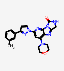 Cc1cccc(-c2ccn(-c3cc(N4CCOCC4)c4nc5n(c4n3)C(=O)NC5)n2)c1